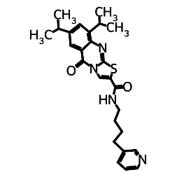 CC(C)c1cc(C(C)C)c2nc3sc(C(=O)NCCCCc4cccnc4)cn3c(=O)c2c1